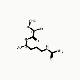 CC(=O)[C@H](CCCNC(N)=O)NC(=O)[C@@H](NC=O)C(C)C